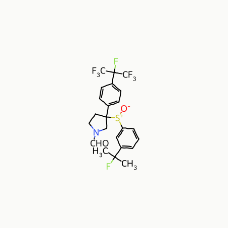 CC(C)(F)c1cccc([S+]([O-])C2(c3ccc(C(F)(C(F)(F)F)C(F)(F)F)cc3)CCN(C=O)C2)c1